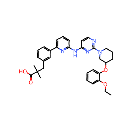 CCOc1ccccc1OC1CCCN(c2nccc(Nc3cccc(-c4cccc(CC(C)(C)C(=O)O)c4)n3)n2)C1